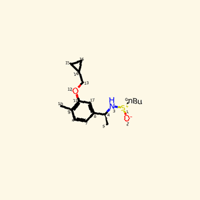 CCCC[S@+]([O-])N[C@@H](C)c1ccc(C)c(OCC2CC2)c1